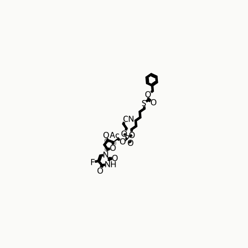 CC(=O)O[C@@H]1C[C@H](n2cc(F)c(=O)[nH]c2=O)O[C@@H]1COP(=O)(OCCC#N)OCCCCCCSC(=O)OCc1ccccc1